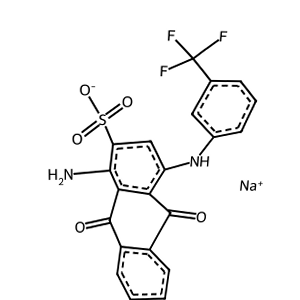 Nc1c(S(=O)(=O)[O-])cc(Nc2cccc(C(F)(F)F)c2)c2c1C(=O)c1ccccc1C2=O.[Na+]